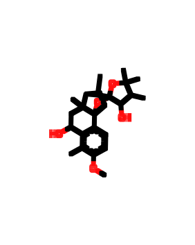 COc1ccc2c(c1C)C(O)CC1(C)C3CCC21OC1(OC(C)(C)C(C)C1O)C3C